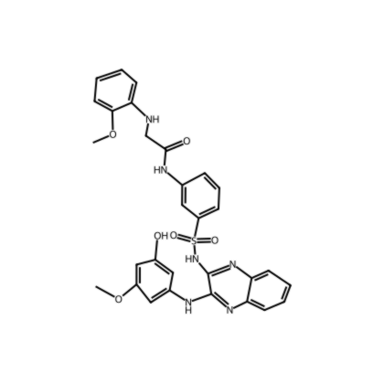 COc1cc(O)cc(Nc2nc3ccccc3nc2NS(=O)(=O)c2cccc(NC(=O)CNc3ccccc3OC)c2)c1